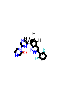 CC1(C)[C@H]2CC[C@]1(c1cncc(-n3ccncc3=O)n1)c1nnc(-c3c(F)cccc3F)cc12